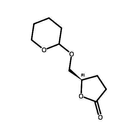 O=C1CC[C@H](COC2CCCCO2)O1